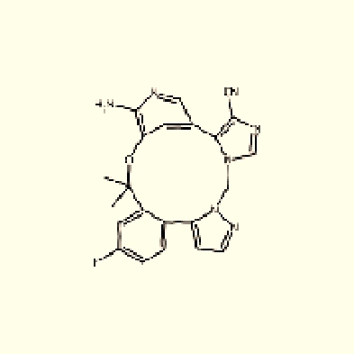 CC1(C)Oc2cc(cnc2N)-c2c(C#N)ncn2Cn2nccc2-c2ccc(F)cc21